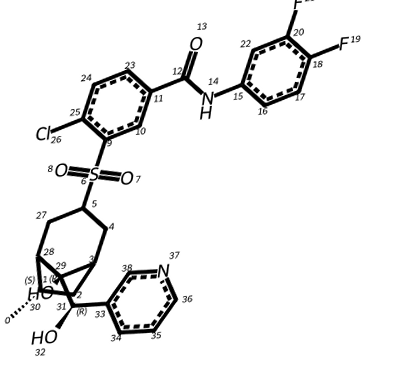 C[C@H]1CC2CC(S(=O)(=O)c3cc(C(=O)Nc4ccc(F)c(F)c4)ccc3Cl)CC1[C@@]2(O)[C@H](O)c1cccnc1